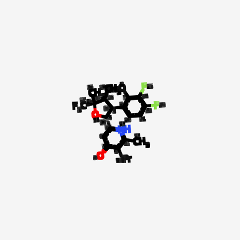 COc1c([C@H]2[C@H](c3cc(=O)c(C(C)C)c(C)[nH]3)O[C@@](C)(C(F)(F)F)[C@H]2C)ccc(F)c1F